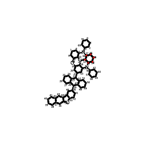 c1ccc(N2c3cccc4c3[Si]3(c5ccccc5)c5c(cc(-c6c7ccccc7c(-c7ccc8oc9cc%10ccccc%10cc9c8c7)c7ccccc67)cc5N(c5ccccc5)c5cccc2c53)O4)cc1